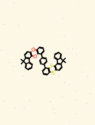 CC1(C)c2ccccc2-c2c1ccc1c2Oc2c(cccc2-c2ccc(-c3cccc4c3Sc3c(ccc5c3-c3ccccc3C5(C)C)S4)cc2)O1